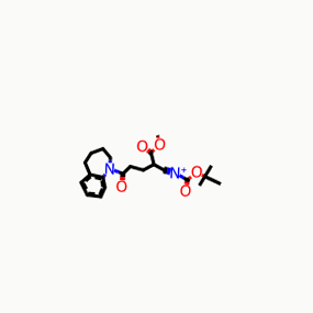 COC(=O)C(C#[N+]C(=O)OC(C)(C)C)CCC(=O)N1CCCCc2ccccc21